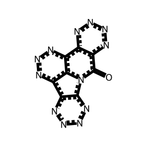 O=c1c2nnnnc2c2nnnc3c4nnnnc4n1c23